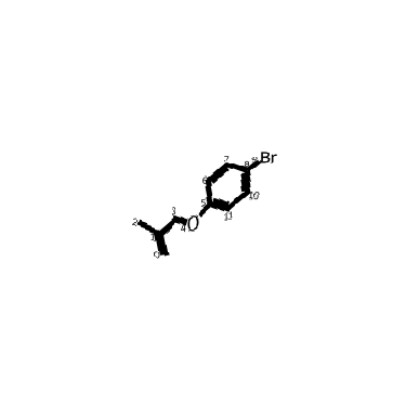 C=C(C)COc1ccc(Br)cc1